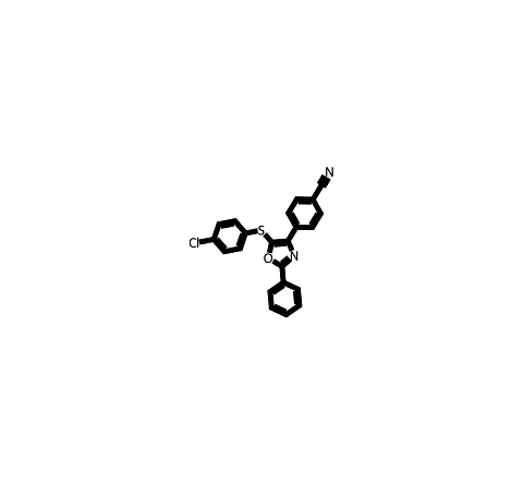 N#Cc1ccc(-c2nc(-c3ccccc3)oc2Sc2ccc(Cl)cc2)cc1